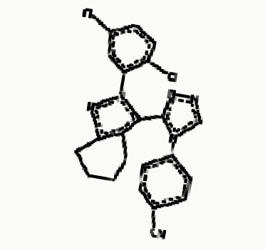 N#Cc1ccc(-n2cnnc2-c2c3c(nn2-c2cc(Cl)ccc2Cl)CCCC3)cc1